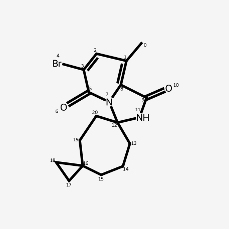 Cc1cc(Br)c(=O)n2c1C(=O)NC21CCCC2(CC2)CC1